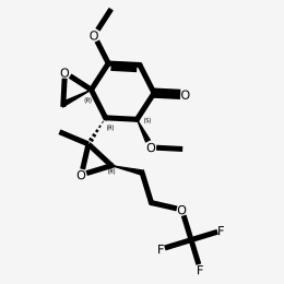 COC1=CC(=O)[C@@H](OC)[C@H](C2(C)O[C@@H]2CCOC(F)(F)F)[C@@]12CO2